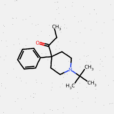 CCC(=O)C1(c2ccccc2)CCN(C(C)(C)C)CC1